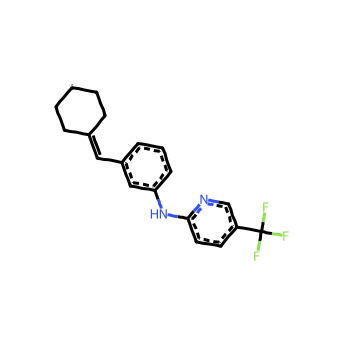 FC(F)(F)c1ccc(Nc2cccc(C=C3CC[CH]CC3)c2)nc1